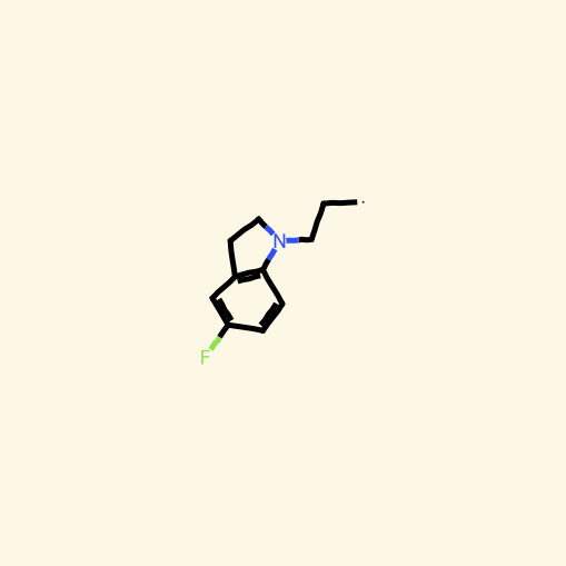 [CH2]CCN1CCc2cc(F)ccc21